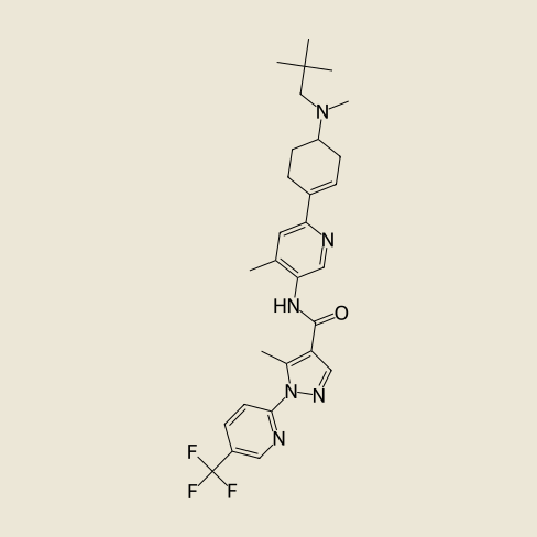 Cc1cc(C2=CCC(N(C)CC(C)(C)C)CC2)ncc1NC(=O)c1cnn(-c2ccc(C(F)(F)F)cn2)c1C